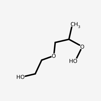 CC(COCCO)OO